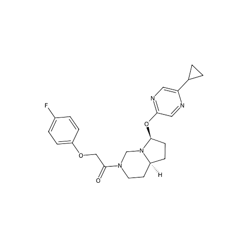 O=C(COc1ccc(F)cc1)N1CC[C@@H]2CC[C@H](Oc3cnc(C4CC4)cn3)N2C1